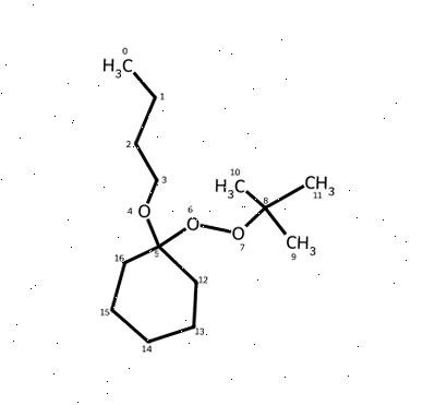 CCCCOC1(OOC(C)(C)C)CCCCC1